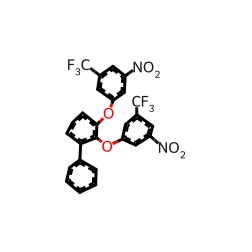 O=[N+]([O-])c1cc(Oc2cccc(-c3ccccc3)c2Oc2cc([N+](=O)[O-])cc(C(F)(F)F)c2)cc(C(F)(F)F)c1